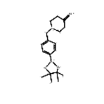 CC1(C)OB(c2ccc(CN3CCC(=O)CC3)cc2)OC1(C)C